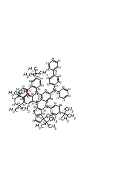 CC(C)(C)c1ccc(N2c3cc(N(c4ccccc4)c4ccc(-c5ccccc5)cc4)cc4c3B(c3cc5c(cc3N4c3ccc(C(C)(C)C)cc3-c3ccccc3)C(C)(C)CCC5(C)C)c3sc4c(c32)C(C)(C(C)(C)C)C=C4)cc1